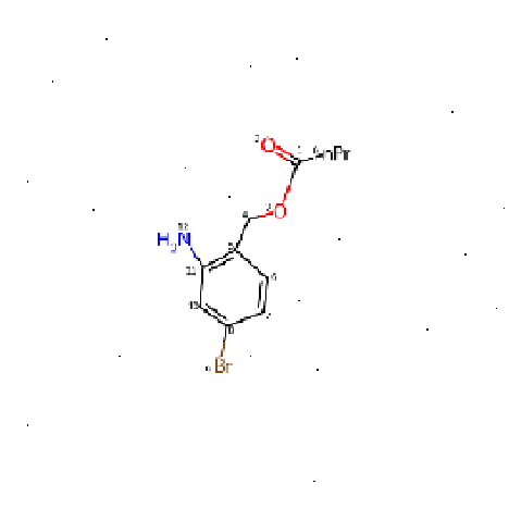 CCCC(=O)OCc1ccc(Br)cc1N